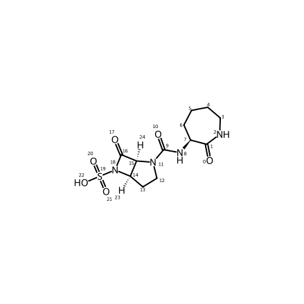 O=C1NCCCC[C@@H]1NC(=O)N1CC[C@@H]2[C@H]1C(=O)N2S(=O)(=O)O